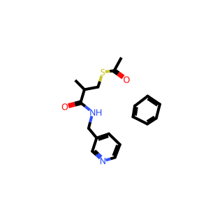 CC(=O)SCC(C)C(=O)NCc1cccnc1.c1ccccc1